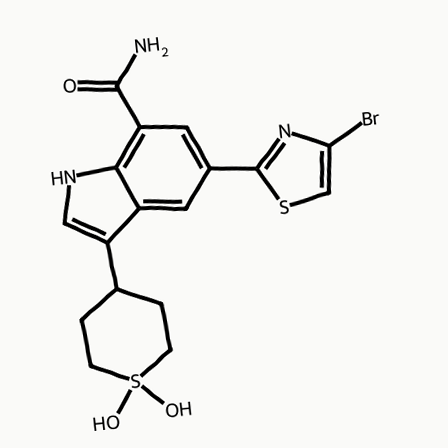 NC(=O)c1cc(-c2nc(Br)cs2)cc2c(C3CCS(O)(O)CC3)c[nH]c12